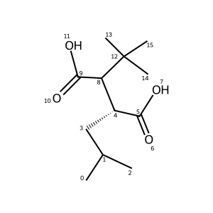 CC(C)C[C@@H](C(=O)O)C(C(=O)O)C(C)(C)C